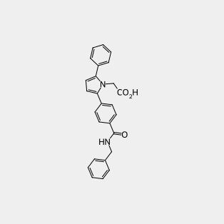 O=C(O)Cn1c(-c2ccccc2)ccc1-c1ccc(C(=O)NCc2ccccc2)cc1